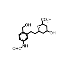 O=CNc1ccc(CO)c(CCC2CC(O)CC(C(=O)O)O2)c1